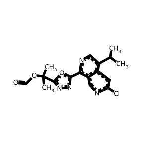 CC(C)c1cnc(-c2nnc(C(C)(C)OC=O)o2)c2cnc(Cl)cc12